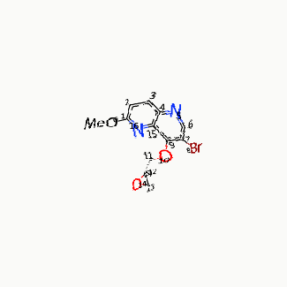 COc1ccc2ncc(Br)c(OC[C@@H]3CO3)c2n1